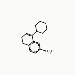 O=C(O)c1ccc2c(c1)C(C1CCCCC1)=CCC2